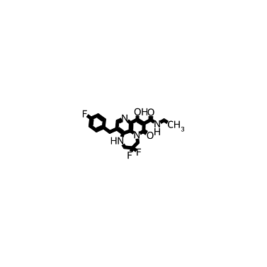 CCNC(=O)c1c(O)c2ncc(Cc3ccc(F)cc3)c3c2n(c1=O)CC(F)(F)CN3